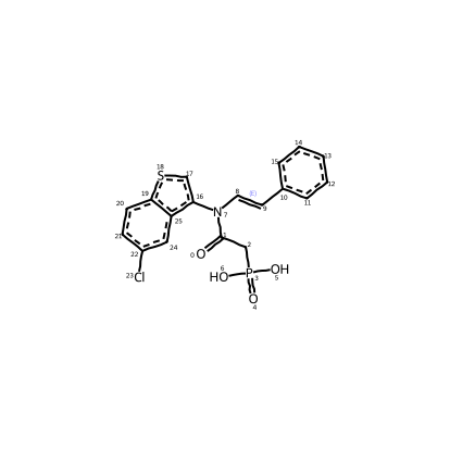 O=C(CP(=O)(O)O)N(/C=C/c1ccccc1)c1csc2ccc(Cl)cc12